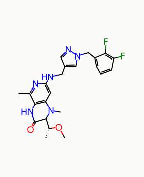 CO[C@H](C)C1C(=O)Nc2c(cc(NCc3cnn(Cc4cccc(F)c4F)c3)nc2C)N1C